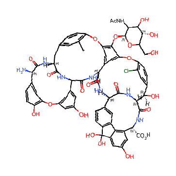 CC(=O)NC1C(O)[C@H](O)C(CO)O[C@H]1Oc1c2cc3cc1Oc1ccc(cc1Cl)[C@@H](O)[C@@H]1NC(=O)[C@H](NC(=O)[C@@H]3NC(=O)C3NC(=O)[C@@H](Cc4ccc(c(C)c4)O2)NC(=O)[C@H](N)c2ccc(O)c(c2)Oc2cc(O)cc3c2)c2ccc3c(c2)-c2c(cc(O)cc2C3(O)O)[C@@H](C(=O)O)NC1=O